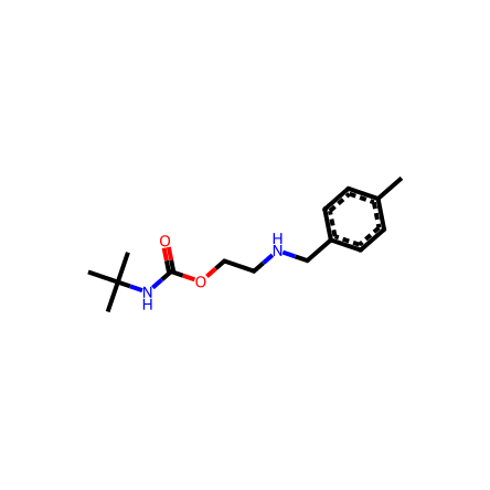 Cc1ccc(CNCCOC(=O)NC(C)(C)C)cc1